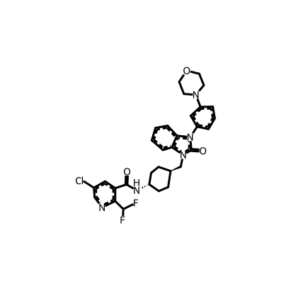 O=C(N[C@H]1CC[C@H](Cn2c(=O)n(-c3cccc(N4CCOCC4)c3)c3ccccc32)CC1)c1cc(Cl)cnc1C(F)F